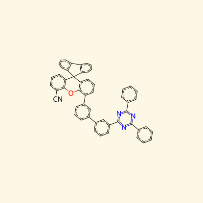 N#Cc1cccc2c1Oc1c(-c3cccc(-c4cccc(-c5nc(-c6ccccc6)nc(-c6ccccc6)n5)c4)c3)cccc1C21c2ccccc2-c2ccccc21